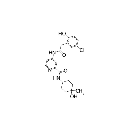 CC1(O)CCC(NC(=O)c2cc(NC(=O)Cc3cc(Cl)ccc3O)ccn2)CC1